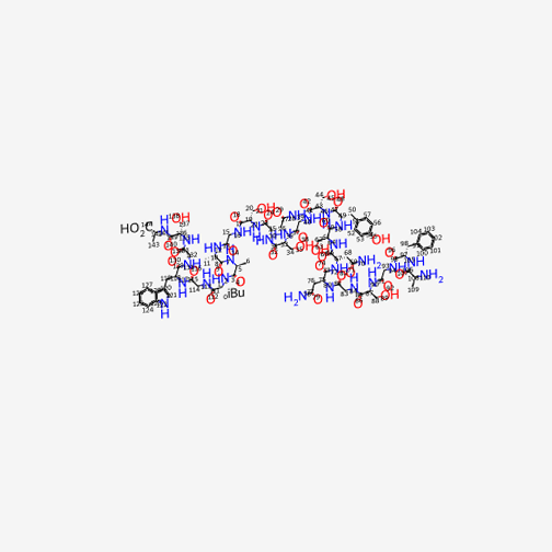 CC[C@H](C)[C@H](NC(=O)[C@H](C)NC(=O)[C@H](C)NC(=O)CNC(=O)[C@H](CO)NC(=O)[C@H](CC(N)=O)NC(=O)[C@H](CO)NC(=O)CNC(=O)[C@H](CO)NC(=O)[C@H](Cc1ccc(O)cc1)NC(=O)[C@H](CO)NC(=O)[C@H](CC(N)=O)NC(=O)[C@H](CC(N)=O)NC(=O)CNC(=O)[C@H](CO)NC(=O)CNC(=O)[C@H](Cc1ccccc1)NC(=O)[C@H](C)N)C(=O)NCC(=O)N[C@@H](Cc1c[nH]c2ccccc12)C(=O)NCC(=O)N[C@@H](CO)C(=O)N[C@@H](C)C(=O)O